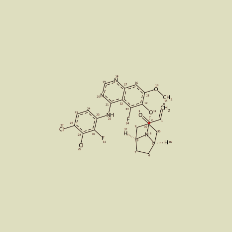 C=CC(=O)N1[C@@H]2CC[C@H]1C[C@H](Oc1c(OC)cc3ncnc(Nc4ccc(Cl)c(Cl)c4F)c3c1F)C2